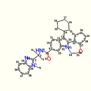 Cn1c(C(C)(C)NC(=O)c2ccc3c(C4CCCCC4)c4n(c3c2)CCOc2ccccc2-4)nc2ccccc21